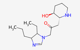 CCCC1N=CN(CC(=O)C[C@H]2NCCC[C@@H]2O)C1CC